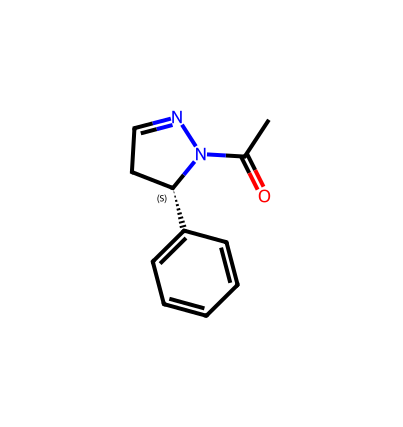 CC(=O)N1N=CC[C@H]1c1ccccc1